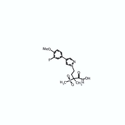 COc1ccc(-c2cnn(CCC(C)(C(=O)NO)S(C)(=O)=O)c2)cc1F